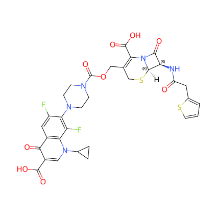 O=C(Cc1cccs1)N[C@@H]1C(=O)N2C(C(=O)O)=C(COC(=O)N3CCN(c4c(F)cc5c(=O)c(C(=O)O)cn(C6CC6)c5c4F)CC3)CS[C@H]12